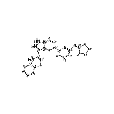 c1ccc2c(c1)CN=C(c1n[nH]c3ccc(-c4cncc(CN5CCCC5)c4)cc13)N2